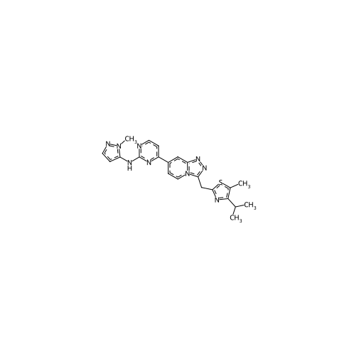 Cc1sc(Cc2nnc3cc(-c4ccnc(Nc5ccnn5C)n4)ccn23)nc1C(C)C